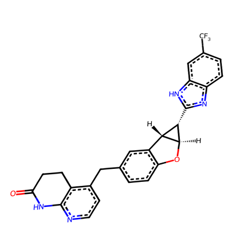 O=C1CCc2c(Cc3ccc4c(c3)[C@H]3[C@H](O4)[C@H]3c3nc4ccc(C(F)(F)F)cc4[nH]3)ccnc2N1